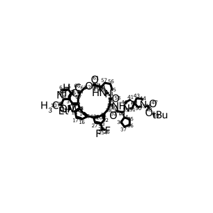 CCn1c(-c2cccnc2[C@H](C)OC)c2c3cc(ccc31)-c1cc(cc(C(F)F)c1)C[C@H](NC(=O)[C@H](C1CCCC1)N1CC[C@]3(CCN(C(=O)OC(C)(C)C)C3)C1)C(=O)N1CCC[C@H](N1)C(=O)OCC(C)(C)C2